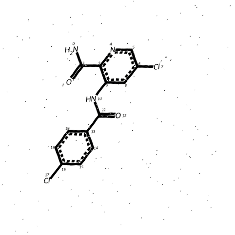 NC(=O)c1ncc(Cl)cc1NC(=O)c1ccc(Cl)cc1